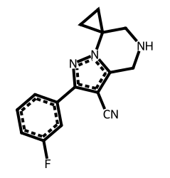 N#Cc1c(-c2cccc(F)c2)nn2c1CNCC21CC1